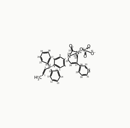 CC=C[P+](c1ccccc1)(c1ccccc1)c1ccccc1.O=C1N2CC=C(c3cccnc3)C(C2)N1OS(=O)(=O)[O-]